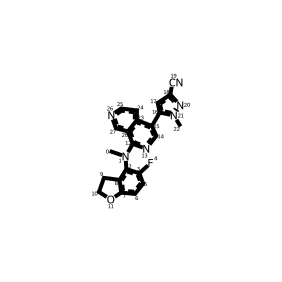 CN(c1c(F)ccc2c1CCO2)c1ncc(-c2cc(C#N)nn2C)c2ccncc12